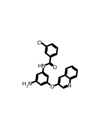 Nc1cc(NC(=O)c2cccc(Cl)c2)cc(Oc2cnc3ccccc3c2)c1